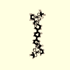 CC(C)(C)OC(=O)N1CCC[C@@H]1c1cn2cc(-c3ccc(-c4ccc5nc([C@H]6CCCN6C(=O)OC(C)(C)C)cn5c4)cc3)ccc2n1